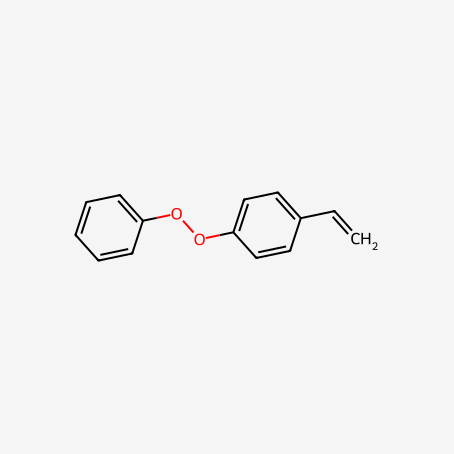 C=Cc1ccc(OOc2ccccc2)cc1